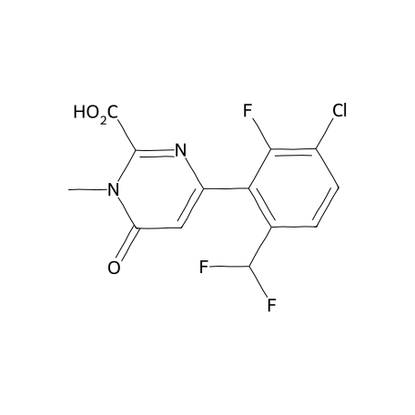 Cn1c(C(=O)O)nc(-c2c(C(F)F)ccc(Cl)c2F)cc1=O